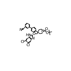 CC(C)(C)OC(=O)N1CCC(COc2nc3cc(Cl)c(Cl)cc3[nH]2)(c2ccc(-c3cccc(C#N)c3)cc2)CC1